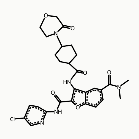 CN(C)C(=O)c1ccc2oc(C(=O)Nc3ccc(Cl)cn3)c(NC(=O)C3CCC(N4CCOCC4=O)CC3)c2c1